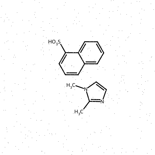 Cc1nccn1C.O=S(=O)(O)c1cccc2ccccc12